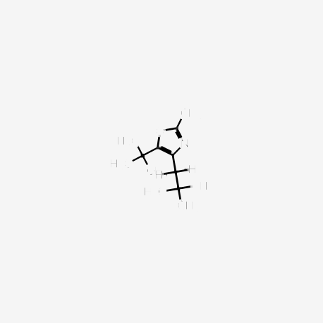 [2H]C([2H])(c1nc(C)oc1C(C)(C)C)C(C)(C)C